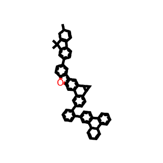 CC1C=CC2=C(C1)C(C)(C)c1cc(-c3ccc4oc5cc6c(cc5c4c3)C3CC3c3ccc(-c4ccccc4-c4ccc5c(c4)C4C=CC=CC4c4ccccc4-5)cc3-6)ccc12